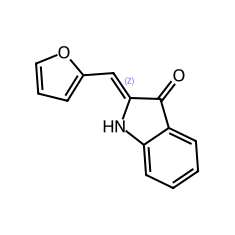 O=C1/C(=C/c2ccco2)Nc2ccccc21